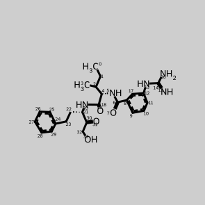 CCC(C)[C@H](NC(=O)c1cccc(NC(=N)N)c1)C(=O)N[C@@H](CCc1ccccc1)C(=O)CO